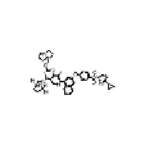 O=S(=O)(c1ccc(Oc2cc(-c3ncc4c(N5C[C@H]6CC[C@@H](C5)N6)nc(OCC56CCCN5CCC6)nc4c3F)c3ccccc3c2)cc1)n1cnc(C2CC2)n1